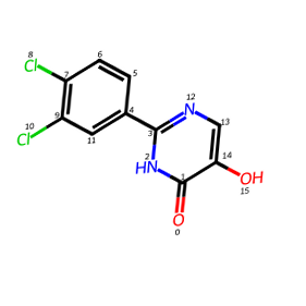 O=c1[nH]c(-c2ccc(Cl)c(Cl)c2)ncc1O